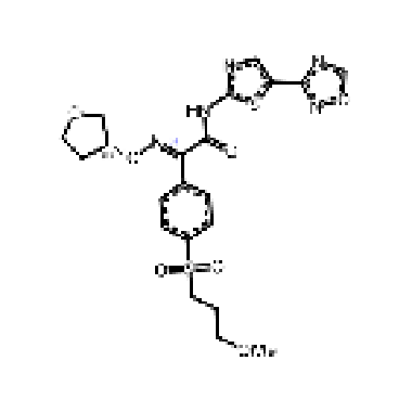 COCCCS(=O)(=O)c1ccc(/C(=N\O[C@@H]2CCOC2)C(=O)Nc2ncc(-c3ncon3)s2)cc1